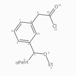 CCCCCC(OCC)c1cccc(CC(=O)Cl)c1